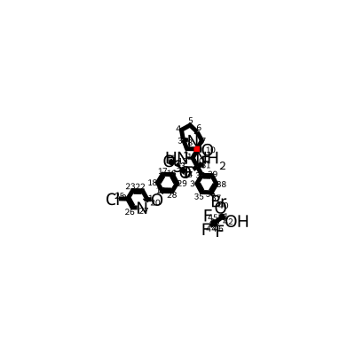 NC1CC2CCC(C1)N2C(=O)[C@H](NS(=O)(=O)c1ccc(Oc2ccc(Cl)cn2)cc1)C(F)(F)c1ccc(Br)cc1.O=C(O)C(F)(F)F